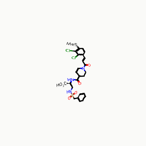 CSc1ccc(/C=C/C(=O)N2CCC(C(=O)N[C@@H](CNS(=O)(=O)Cc3ccccc3)C(=O)O)CC2)c(Cl)c1Cl